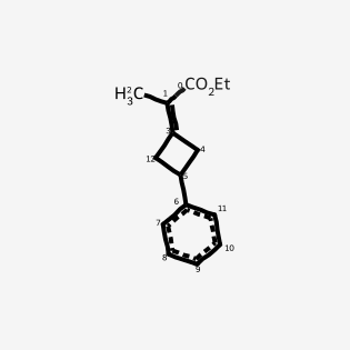 CCOC(=O)C(C)=C1CC(c2ccccc2)C1